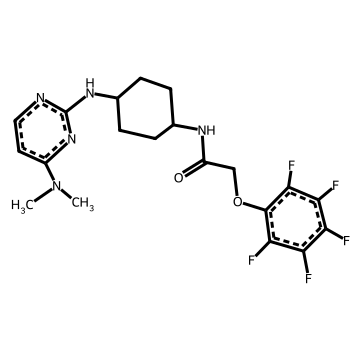 CN(C)c1ccnc(NC2CCC(NC(=O)COc3c(F)c(F)c(F)c(F)c3F)CC2)n1